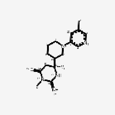 Cc1cncc(N2CCCC([C@]3(C)CC(=O)N(C)C(=N)N3)C2)c1